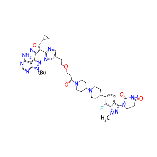 Cn1nc(N2CCC(=O)NC2=O)c2ccc(C3CCN(C4CCN(C(=O)CCOCCc5cnc(-c6c(-c7nn(C(C)(C)C)c8ncnc(N)c78)noc6C6CC6)nc5)CC4)CC3)c(F)c21